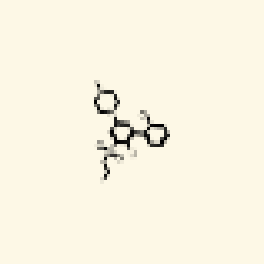 CCCS(=O)(=O)c1cc(N2CCN(C)CC2)cc(-c2ccccc2Cl)c1Cl